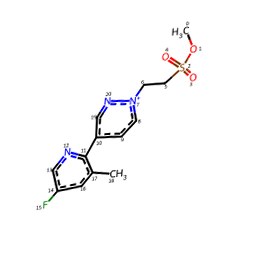 COS(=O)(=O)CC[n+]1ccc(-c2ncc(F)cc2C)cn1